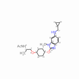 CC(=O)N[C@@H](C)CO[C@H]1CC[C@H](Oc2nc3ccc(NCC4CC4)cc3n2C)CC1